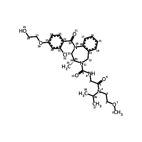 COCCN(C(=O)CNC(=O)N1Cc2ccccc2N(C(=O)c2ccc(OCCO)cc2Cl)C[C@H]1C)C(C)C